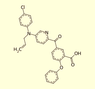 C=CCN(c1ccc(Cl)cc1)c1ccc(C(=O)c2ccc(Oc3ccccc3)c(C(=O)O)c2)nc1